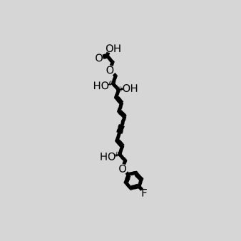 O=C(O)COC[C@@H](O)[C@@H](O)C=CC=CC#CC=C[C@H](O)COc1ccc(F)cc1